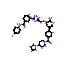 Nc1ncc(-c2ccc(C(=O)N3CCC(N4CCCC4)CC3)cc2)cc1OCc1nc(-c2cccc(C(=O)Nc3ccc(F)cc3)c2)no1